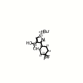 CC(C)(C)n1cc(B(O)O)c(C2CCC(F)(F)CC2)n1